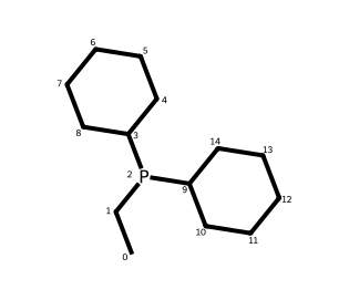 CCP(C1CCCCC1)C1CCCCC1